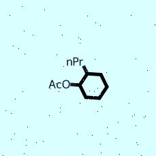 CCCC1CCCCC1OC(C)=O